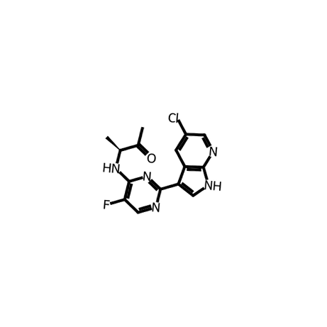 CC(=O)[C@H](C)Nc1nc(-c2c[nH]c3ncc(Cl)cc23)ncc1F